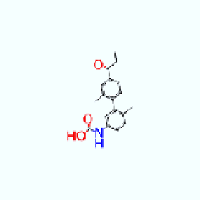 CCC(=O)c1ccc(-c2cc(NC(=O)O)ccc2C)c(C)c1